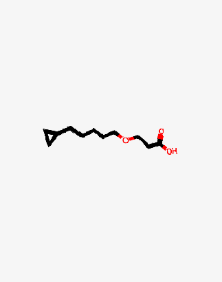 O=C(O)CCOCCCCCC1CC1